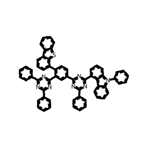 c1ccc(-c2nc(-c3ccccc3)nc(-c3cc(-c4nc(-c5ccccc5)nc(-c5cccc6c5c5ccccc5n6-c5ccccc5)n4)ccc3-c3cccc4c3sc3ccccc34)n2)cc1